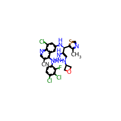 Cc1ncsc1[C@H](Nc1cc(Cl)c2ncc(C#N)c(Nc3ccc(Cl)c(Cl)c3F)c2c1)C1=CN(C2COC2)NN1